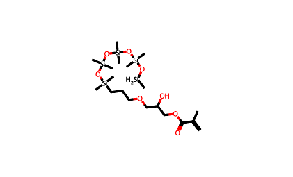 C=C(C)C(=O)OCC(O)COCCC[Si](C)(C)O[Si](C)(C)O[Si](C)(C)O[Si](C)(C)O[SiH2]C